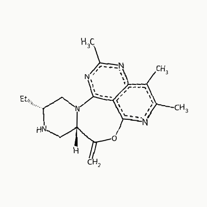 C=C1Oc2nc(C)c(C)c3nc(C)nc(c23)N2C[C@@H](CC)NC[C@@H]12